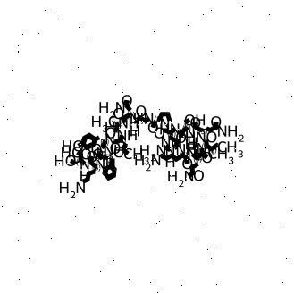 CC[C@H](C)[C@H](NC(=O)[C@H](CCC(N)=O)NC(=O)[C@@H](N)CCCCN)C(=O)N[C@@H](CCC(N)=O)C(=O)N[C@@H](CO)C(=O)N[C@@H](CCCNC(=N)N)C(=O)N1CCC[C@H]1C(=O)NCC(=O)N[C@@H](CC(N)=O)C(=O)N[C@@H](C)C(=O)N[C@@H](CC(C)C)C(=O)N[C@@H](Cc1ccc(O)cc1)C(=O)N[C@@H](Cc1ccccc1)C(=O)N[C@@H](CCCCN)C(=O)N[C@@H](CO)C(=O)O